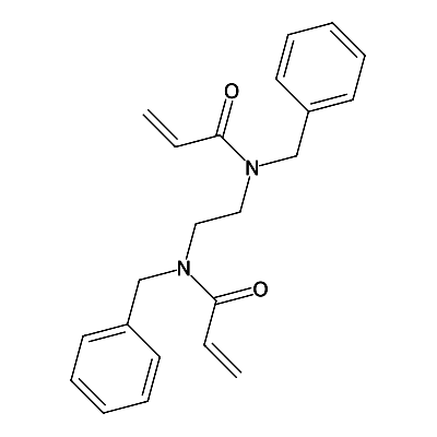 C=CC(=O)N(CCN(Cc1ccccc1)C(=O)C=C)Cc1ccccc1